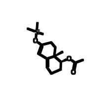 CC(=O)O[C@H]1CCC=C2C=C(O[Si](C)(C)C)CC[C@@]21C